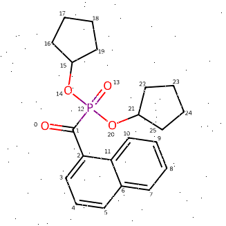 O=C(c1cccc2ccccc12)P(=O)(OC1CCCC1)OC1CCCC1